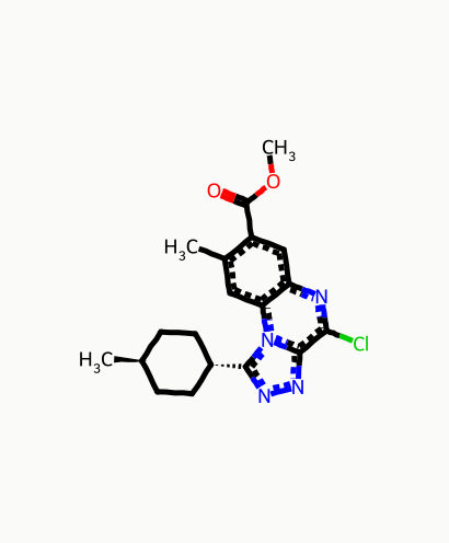 COC(=O)c1cc2nc(Cl)c3nnc([C@H]4CC[C@H](C)CC4)n3c2cc1C